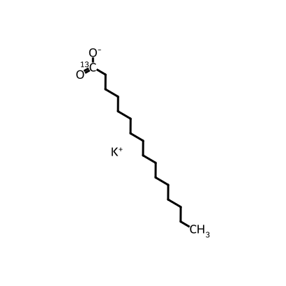 CCCCCCCCCCCCCCC[13C](=O)[O-].[K+]